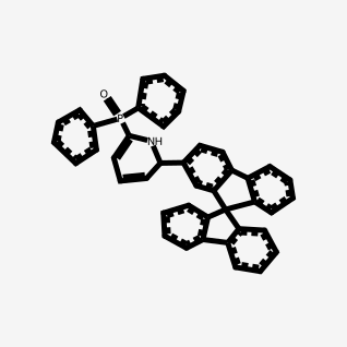 O=P(C1=CC=CC(c2ccc3c(c2)C2(c4ccccc4-c4ccccc42)c2ccccc2-3)N1)(c1ccccc1)c1ccccc1